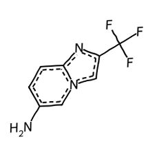 Nc1ccc2nc(C(F)(F)F)cn2c1